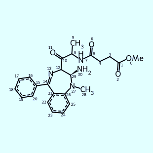 COC(=O)CCC(=O)NC(C)C(=O)C1N=C(c2ccccc2)c2ccccc2N(C)[C@@H]1N